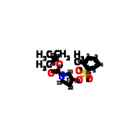 Cc1ccccc1S(=O)(=O)OC1CCN(C(=O)OC(C)(C)C)C1